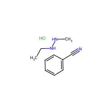 CCNNC.Cl.N#Cc1ccccc1